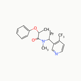 CC(Oc1ccccc1)C(=O)N(C)C(c1cnccc1C(F)(F)F)C(C)C